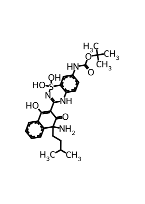 CC(C)CCC1(N)C(=O)C(C2=NS(O)(O)c3cc(NC(=O)OC(C)(C)C)ccc3N2)=C(O)c2ccccc21